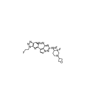 CNc1nc(N[C@@H]2CCN(C3COC3)CC2(F)F)nn2ccc(-c3ccc4nnn(CCF)c4n3)c12